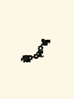 CCOc1ccc(-c2ccc(C(O)(O)C(F)(F)F)cc2)cc1CNC1CCC(CNC(=O)O)CC1